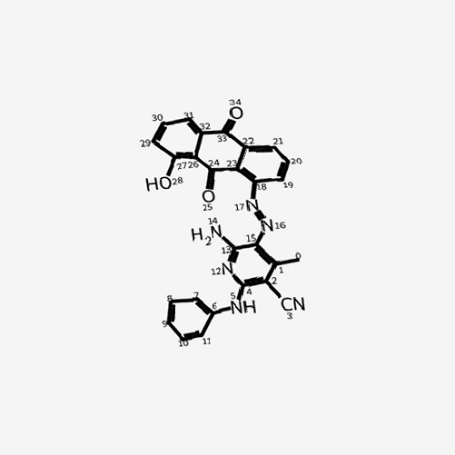 Cc1c(C#N)c(Nc2ccccc2)nc(N)c1/N=N/c1cccc2c1C(=O)c1c(O)cccc1C2=O